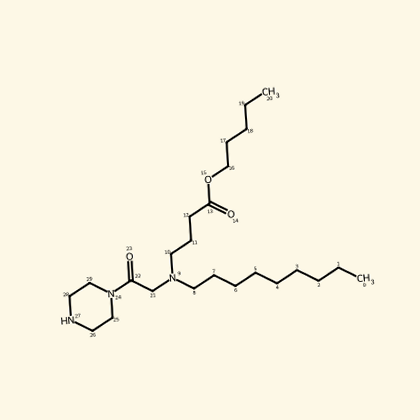 CCCCCCCCCN(CCCC(=O)OCCCCC)CC(=O)N1CCNCC1